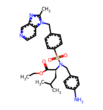 CCOC(=O)[C@H](CC(C)C)N(Cc1ccc(N)cc1)S(=O)(=O)c1ccc(Cn2c(C)nc3cnccc32)cc1